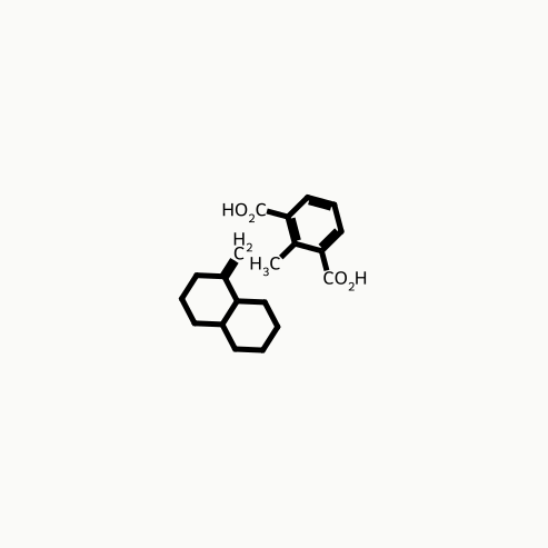 C=C1CCCC2CCCCC12.Cc1c(C(=O)O)cccc1C(=O)O